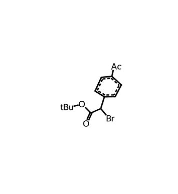 CC(=O)c1ccc(C(Br)C(=O)OC(C)(C)C)cc1